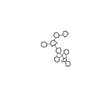 c1ccc(-c2cccc(-c3cc(-c4ccccc4)nc(-c4ccc5c(c4)-c4ccccc4C54c5ccccc5-c5c4oc4ccccc54)n3)c2)cc1